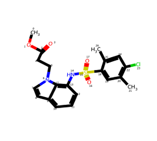 COC(=O)CCn1ccc2cccc(NS(=O)(=O)c3cc(C)c(Cl)cc3C)c21